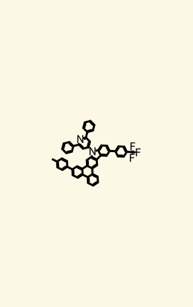 Cc1ccc(-c2ccc3c4ccccc4c4cc5c6cc(-c7ccc(C(F)(F)F)cc7)ccc6n(-c6cc(-c7ccccc7)nc(-c7ccccc7)c6)c5cc4c3c2)cc1